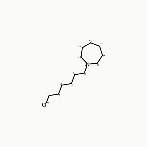 ClCCCCCCN1CCCCCC1